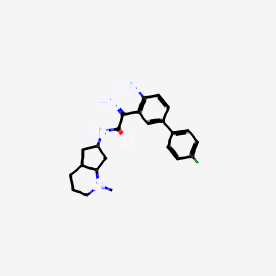 CN1CCCC2CC(NC(=O)C(=N)c3cc(-c4ccc(F)cc4)ccc3N)CC21